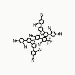 N#Cc1ccc(-c2ccc3c(c2)c2cc(-c4ccc(C#N)cc4C#N)ccc2n3-c2cc(-c3ccc(C(F)(F)F)cc3C#N)c(-n3c4ccc(-c5ccc(C#N)cc5C#N)cc4c4cc(-c5ccc(C#N)cc5C#N)ccc43)cc2C#N)c(C#N)c1